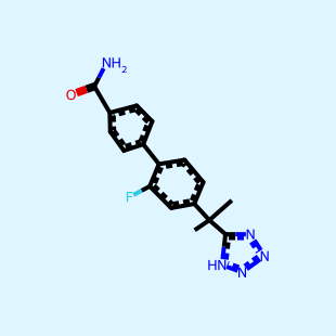 CC(C)(c1ccc(-c2ccc(C(N)=O)cc2)c(F)c1)c1nnn[nH]1